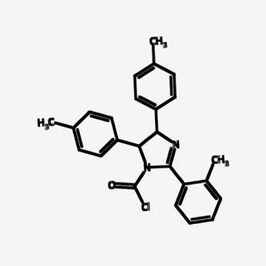 Cc1ccc(C2N=C(c3ccccc3C)N(C(=O)Cl)C2c2ccc(C)cc2)cc1